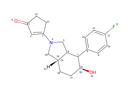 O=C1C=C(N2CC3C(c4ccc(F)cc4)[C@@H](O)CC[C@@H]3C2)CC1